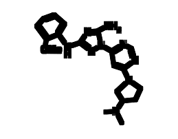 COc1ccccc1Nc1nc(N)n(-c2cc(N3CCC(N(C)C)C3)ncn2)n1